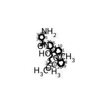 COCCCCC(O)(c1ccccc1Oc1c(C)cccc1C)C1CCCN(C(=O)C2CCC(N)C2)C1